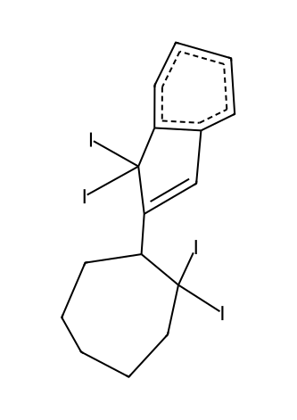 IC1(I)C(C2CCCCCC2(I)I)=Cc2ccccc21